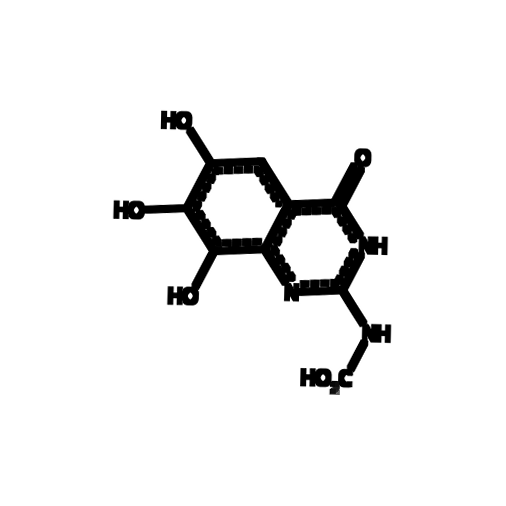 O=C(O)Nc1nc2c(O)c(O)c(O)cc2c(=O)[nH]1